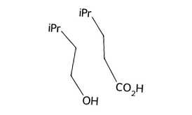 CC(C)CCC(=O)O.CC(C)CCO